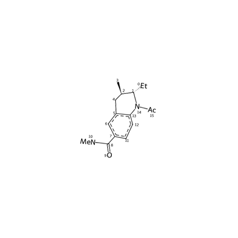 CC[C@H]1[C@H](C)Cc2cc(C(=O)NC)ccc2N1C(C)=O